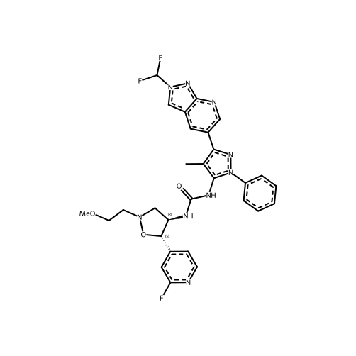 COCCN1C[C@@H](NC(=O)Nc2c(C)c(-c3cnc4nn(C(F)F)cc4c3)nn2-c2ccccc2)[C@H](c2ccnc(F)c2)O1